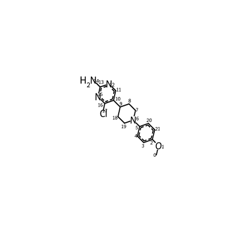 COc1ccc(N2CCC(c3cnc(N)nc3Cl)CC2)cc1